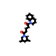 CC1CC(C)CN(C(=O)CCCC(=O)N2CCCC3CCCC=C32)C1